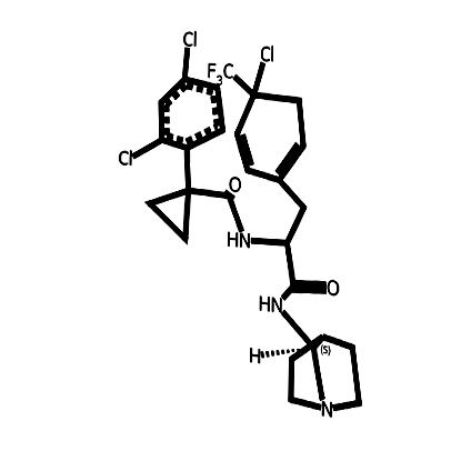 O=C(N[C@@H]1CN2CCC1CC2)C(CC1=CCC(Cl)(C(F)(F)F)C=C1)NC(=O)C1(c2ccc(Cl)cc2Cl)CC1